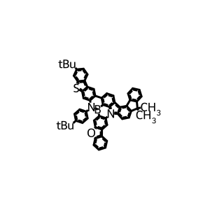 CC(C)(C)c1ccc(N2B3c4cc5oc6ccccc6c5cc4-n4c5ccc6c(c5c5ccc(c3c54)-c3cc4c(cc32)sc2cc(C(C)(C)C)ccc24)-c2ccccc2C6(C)C)cc1